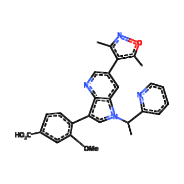 COc1cc(C(=O)O)ccc1-c1cn(C(C)c2ccccn2)c2cc(-c3c(C)noc3C)cnc12